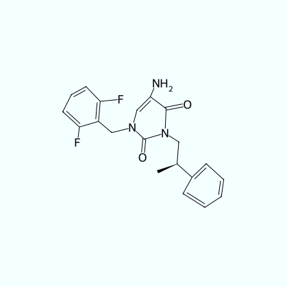 C[C@@H](Cn1c(=O)c(N)cn(Cc2c(F)cccc2F)c1=O)c1ccccc1